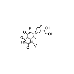 COC1=C(F)C(N2CC(C(O)CO)C3(CC3)C2)C(C)c2c1c(=O)[nH]c(=O)n2C1CC1